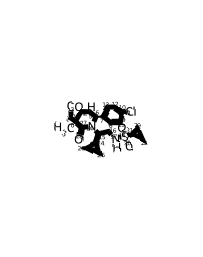 CC1(CC(=O)O)CC[C@@H](c2ccc(Cl)cc2)N(C(CNS(=O)(=O)C2CC2)C2CC2)C1=O